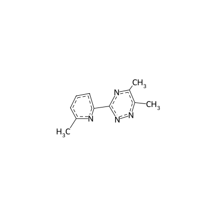 Cc1cccc(-c2nnc(C)c(C)n2)n1